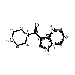 O=C(c1cnn2cncnc12)N1CCOCC1